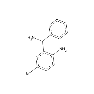 Nc1ccc(Br)cc1C(N)c1ccccc1